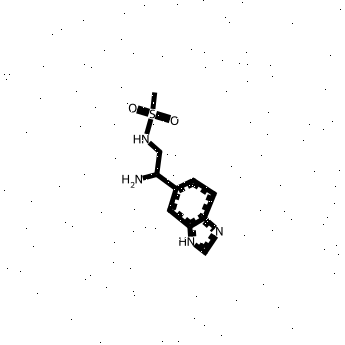 CS(=O)(=O)NCC(N)c1ccc2nc[nH]c2c1